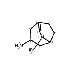 CC(C)N1C=C2CCC1CC(N)C2